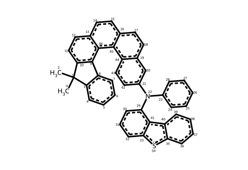 CC1(C)c2ccccc2-c2c1ccc1ccc3ccc4cc(N(c5ccccc5)c5cccc6sc7ccccc7c56)ccc4c3c21